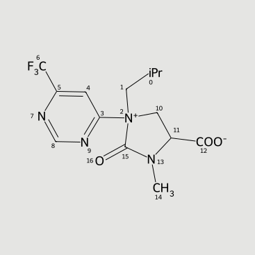 CC(C)C[N+]1(c2cc(C(F)(F)F)ncn2)CC(C(=O)[O-])N(C)C1=O